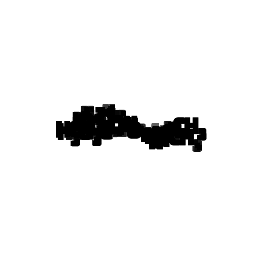 CN(C)Cc1cn(CCON=C2C=C3CCC4C(CC[C@@]5(C)C4CC[C@@H]5O)[C@@]3(C)CC2)nn1